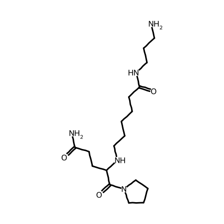 NCCCNC(=O)CCCCCNC(CCC(N)=O)C(=O)N1CCCC1